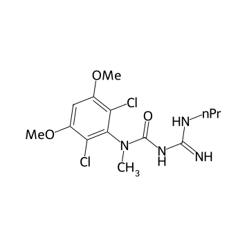 CCCNC(=N)NC(=O)N(C)c1c(Cl)c(OC)cc(OC)c1Cl